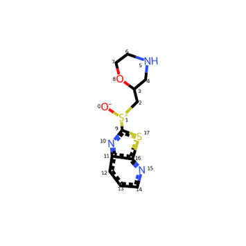 [O-][S+](CC1CNCCO1)c1nc2cccnc2s1